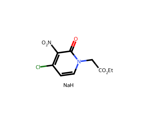 CCOC(=O)Cn1ccc(Cl)c([N+](=O)[O-])c1=O.[NaH]